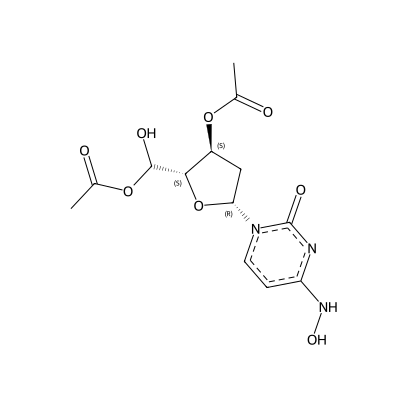 CC(=O)OC(O)[C@H]1O[C@@H](n2ccc(NO)nc2=O)C[C@@H]1OC(C)=O